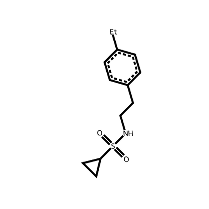 CCc1ccc(CCNS(=O)(=O)C2CC2)cc1